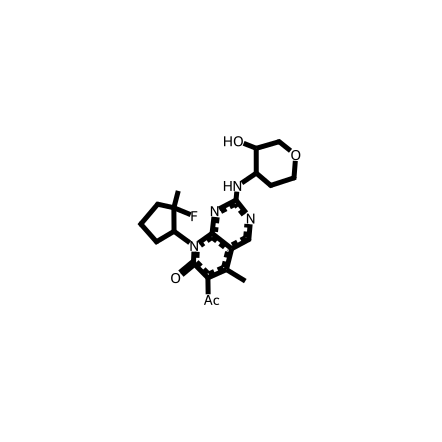 CC(=O)c1c(C)c2cnc(NC3CCOCC3O)nc2n(C2CCCC2(C)F)c1=O